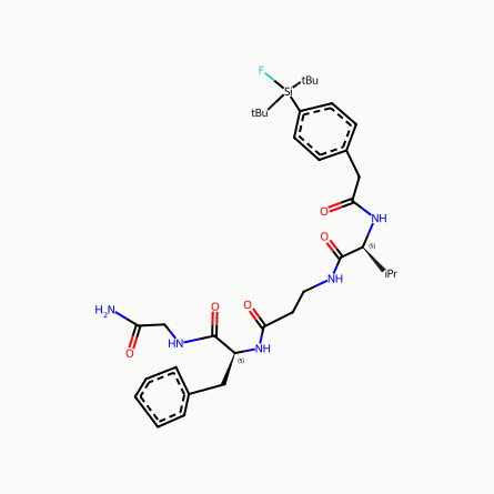 CC(C)[C@H](NC(=O)Cc1ccc([Si](F)(C(C)(C)C)C(C)(C)C)cc1)C(=O)NCCC(=O)N[C@@H](Cc1ccccc1)C(=O)NCC(N)=O